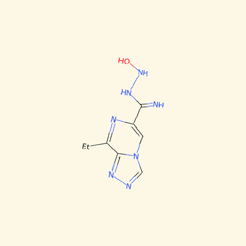 CCc1nc(C(=N)NNO)cn2cnnc12